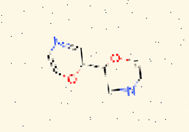 [C]1=CN=CC(C2C=NC=CO2)O1